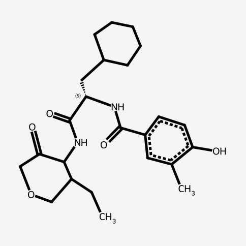 CCC1COCC(=O)C1NC(=O)[C@H](CC1CCCCC1)NC(=O)c1ccc(O)c(C)c1